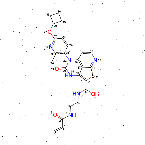 C=CC(=O)NCCNC(O)c1sc2nccc3c2c1NC(=O)N3c1ccc(OC2CCC2)nc1C